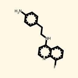 Nc1ccc(CCNc2ccnc3c(F)cccc23)cc1